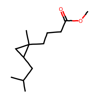 COC(=O)CCCC1(C)CC1CC(C)C